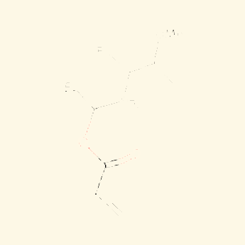 C=CC(=O)OC(CC)[SiH2]C(CC)C(C)OC